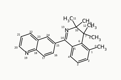 Cc1cccc2c1C(C)(C)C(C)(C)N=C2c1ccc2ncccc2c1